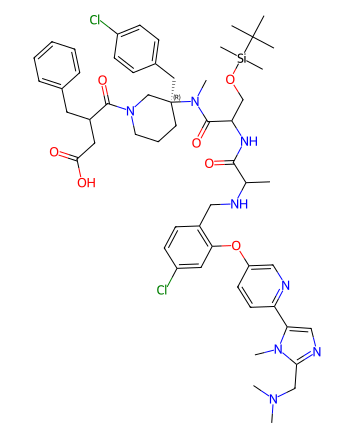 CC(NCc1ccc(Cl)cc1Oc1ccc(-c2cnc(CN(C)C)n2C)nc1)C(=O)NC(CO[Si](C)(C)C(C)(C)C)C(=O)N(C)[C@@]1(Cc2ccc(Cl)cc2)CCCN(C(=O)C(CC(=O)O)Cc2ccccc2)C1